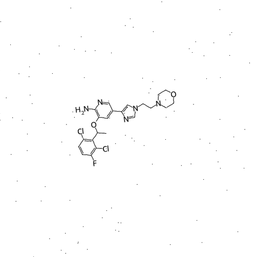 CC(Oc1cc(-c2cn(CCN3CCOCC3)cn2)cnc1N)c1c(Cl)ccc(F)c1Cl